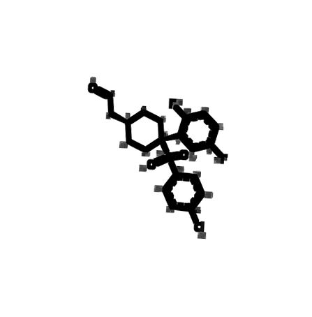 O=CC[C@H]1CC[C@](c2cc(F)ccc2F)(S(=O)(=O)c2ccc(Cl)cc2)CC1